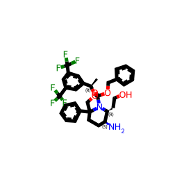 C[C@@H](OCC1(c2ccccc2)CC[C@H](N)[C@@H](CCO)N1C(=O)OCc1ccccc1)c1cc(C(F)(F)F)cc(C(F)(F)F)c1